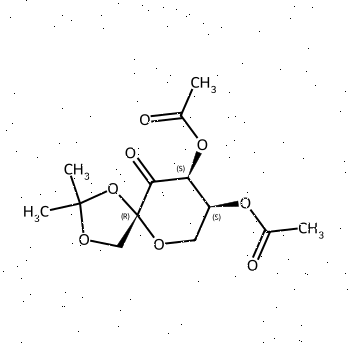 CC(=O)O[C@H]1CO[C@@]2(COC(C)(C)O2)C(=O)[C@H]1OC(C)=O